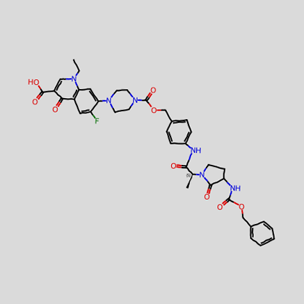 CCn1cc(C(=O)O)c(=O)c2cc(F)c(N3CCN(C(=O)OCc4ccc(NC(=O)[C@H](C)N5CCC(NC(=O)OCc6ccccc6)C5=O)cc4)CC3)cc21